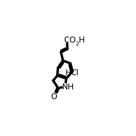 Cl.O=C(O)C=Cc1ccc2c(c1)CC(=O)N2